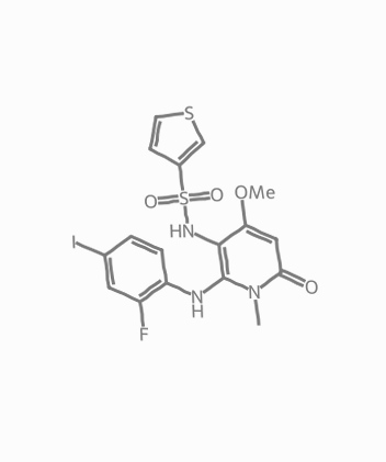 COc1cc(=O)n(C)c(Nc2ccc(I)cc2F)c1NS(=O)(=O)c1ccsc1